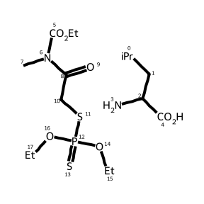 CC(C)CC(N)C(=O)O.CCOC(=O)N(C)C(=O)CSP(=S)(OCC)OCC